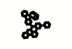 c1ccc(-c2ccc(N(c3ccc4c(c3)C3(c5ccccc5-4)C4CC5CC(C4)CC3C5)c3ccc4ccccc4c3)c(-c3ccccc3)c2)cc1